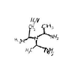 CC(N)N(C(C)N)C(C)N.N